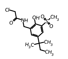 CCC(C)(C)c1cc(CNC(=O)CCl)c(O)c(S(C)(=O)=O)c1